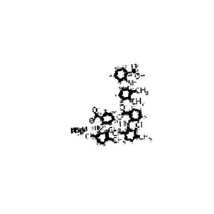 Cc1ccc(Cl)c(Nc2ccccc2C(=O)[O-])c1Cl.Cc1ccc(Cl)c(Nc2ccccc2C(=O)[O-])c1Cl.Cc1cccc(Nc2ccccc2C(=O)O)c1C.O.O.[Na+].[Na+]